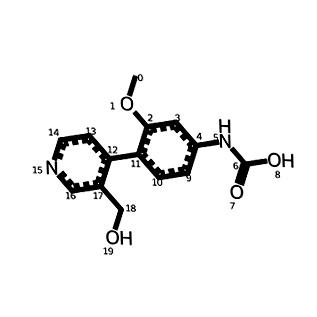 COc1cc(NC(=O)O)ccc1-c1ccncc1CO